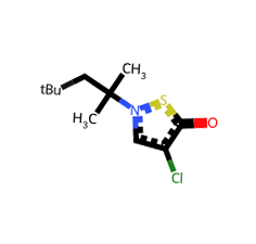 CC(C)(C)CC(C)(C)n1cc(Cl)c(=O)s1